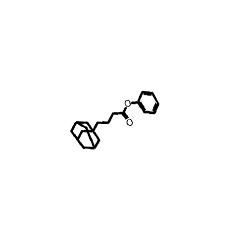 O=C(CCCC12CC3CC(CC(C3)C1)C2)Oc1ccccc1